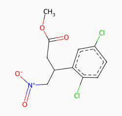 COC(=O)CC(C[N+](=O)[O-])c1cc(Cl)ccc1Cl